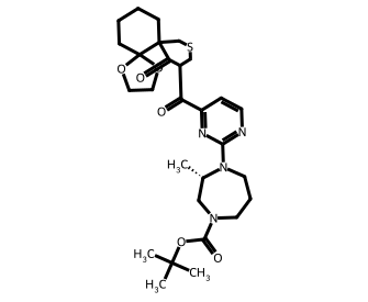 C[C@H]1CN(C(=O)OC(C)(C)C)CCCN1c1nccc(C(=O)C2CSCC3(CCCCC34OCCO4)C2=O)n1